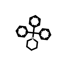 [CH]1CCN(C(c2ccccc2)(c2ccccc2)c2ccccc2)CC1